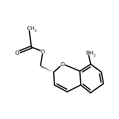 Bc1cccc2c1O[C@@H](COC(C)=O)C=C2